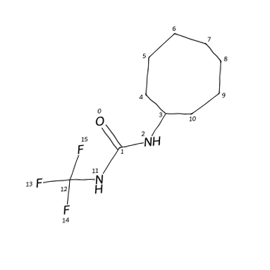 O=C(NC1CCCCCCC1)NC(F)(F)F